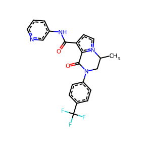 CC1CN(c2ccc(C(F)(F)F)cc2)C(=O)c2c(C(=O)Nc3cccnc3)ccn21